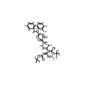 CC(C)(C)OC(=O)N=C(N)N(C(=O)OC(C)(C)C)C1CCN(C(=O)N[C@@H](Cc2ccccc2)C(=O)OCc2ccccc2)CC1